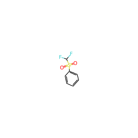 O=S(=O)(c1ccccc1)C(F)F